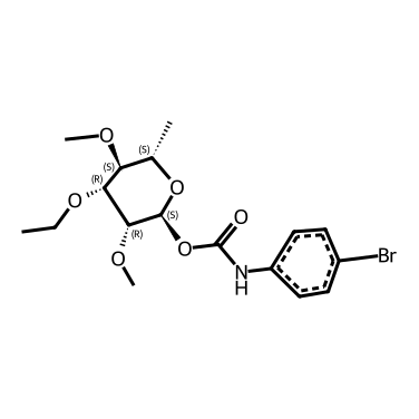 CCO[C@@H]1[C@@H](OC)[C@H](C)O[C@@H](OC(=O)Nc2ccc(Br)cc2)[C@@H]1OC